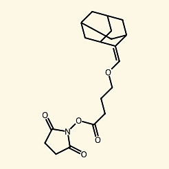 O=C(CCCOC=C1C2CC3CC(C2)CC1C3)ON1C(=O)CCC1=O